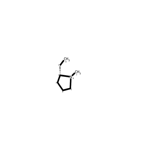 CC[C@H]1CCCN1C